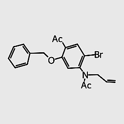 C=CCN(C(C)=O)c1cc(OCc2ccccc2)c(C(C)=O)cc1Br